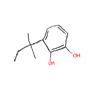 CCC(C)(C)c1cccc(O)c1O